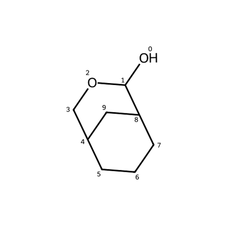 OC1OCC2CCCC1C2